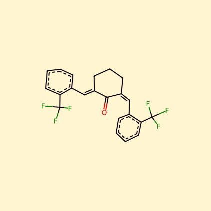 O=C1C(=Cc2ccccc2C(F)(F)F)CCCC1=Cc1ccccc1C(F)(F)F